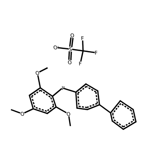 COc1cc(OC)c([I+]c2ccc(-c3ccccc3)cc2)c(OC)c1.O=S(=O)([O-])C(F)(F)F